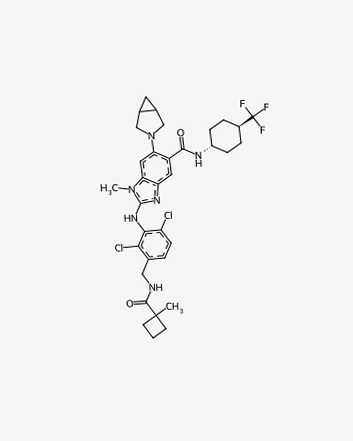 Cn1c(Nc2c(Cl)ccc(CNC(=O)C3(C)CCC3)c2Cl)nc2cc(C(=O)N[C@H]3CC[C@H](C(F)(F)F)CC3)c(N3CC4CC4C3)cc21